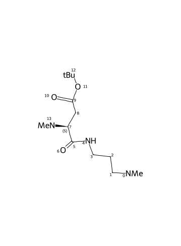 CNCCCNC(=O)[C@H](CC(=O)OC(C)(C)C)NC